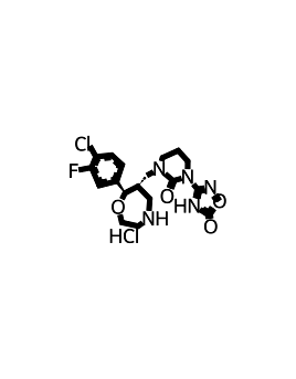 Cl.O=C1N(C[C@@H]2CNCCO[C@H]2c2ccc(Cl)c(F)c2)CCCN1c1noc(=O)[nH]1